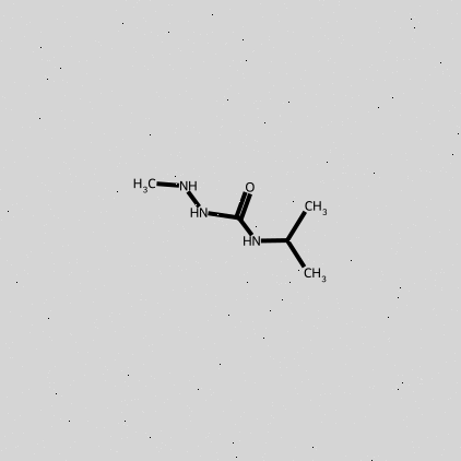 CNNC(=O)NC(C)C